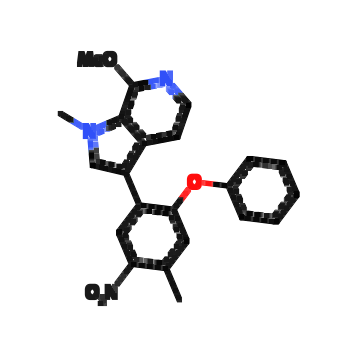 COc1nccc2c(-c3cc([N+](=O)[O-])c(C)cc3Oc3ccccc3)cn(C)c12